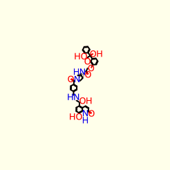 O=C(COc1cccc(C(O)(C(=O)O)c2ccccc2)c1)N[C@@H]1CCN(C(=O)c2ccc(CNCC(O)c3ccc(O)c4[nH]c(=O)ccc34)cc2)C1